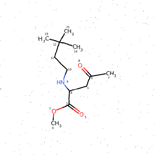 COC(=O)C(CC(C)=O)NCCC(C)(C)C